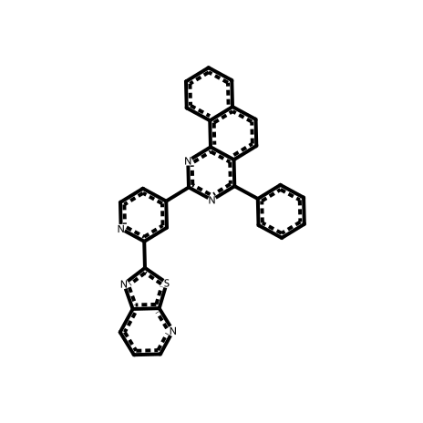 c1ccc(-c2nc(-c3ccnc(-c4nc5cccnc5s4)c3)nc3c2ccc2ccccc23)cc1